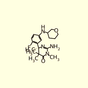 CN1C(=O)C(C)(C)[C@@](C)(c2cc(NC3CCCOC3)ccc2F)N=C1N